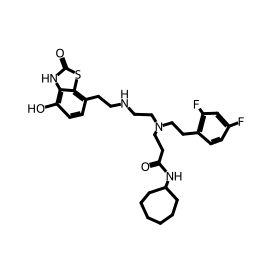 O=C(CCN(CCNCCc1ccc(O)c2[nH]c(=O)sc12)CCc1ccc(F)cc1F)NC1CCCCCC1